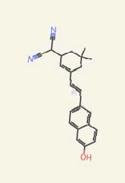 CC1(C)CC(/C=C/c2ccc3cc(O)ccc3c2)=CC(C(C#N)C#N)C1